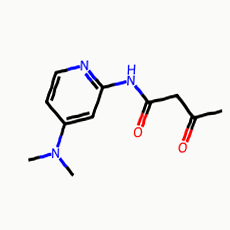 CC(=O)CC(=O)Nc1cc(N(C)C)ccn1